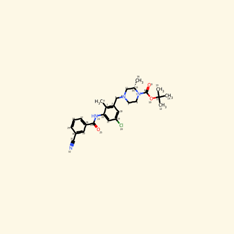 Cc1c(CN2CCN(C(=O)OC(C)(C)C)[C@@H](C)C2)cc(Cl)cc1NC(=O)c1cccc(C#N)c1